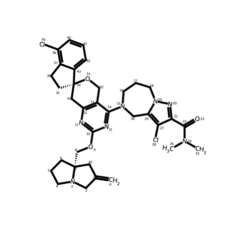 C=C1CN2CCC[C@@]2(COc2nc3c(c(N4CCCn5nc(C(=O)N(C)C)c(Cl)c5C4)n2)CO[C@@]2(CCc4c(Cl)cccc42)C3)C1